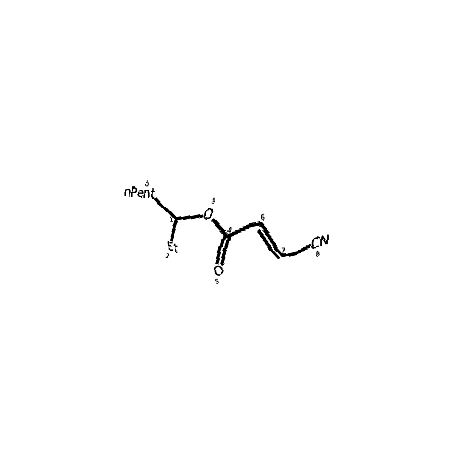 CCCCCC(CC)OC(=O)C=CC#N